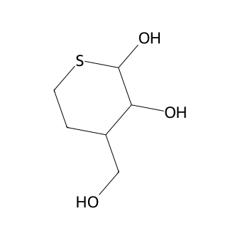 OCC1CCSC(O)C1O